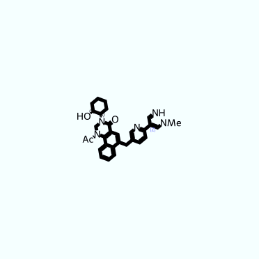 CN/C=C(\C=N)c1ccc(Cc2cc3c(c4ccccc24)N(C(C)=O)CN([C@H]2CCCC[C@@H]2O)C3=O)cn1